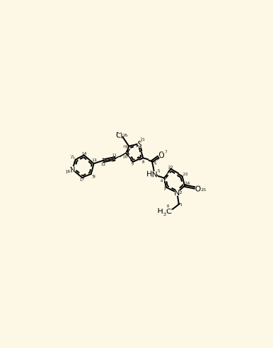 CCn1cc(NC(=O)c2cc(C#Cc3ccncc3)c(Cl)s2)ccc1=O